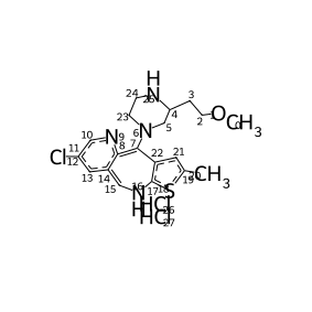 COCCC1CN(C2=c3ncc(Cl)cc3=CNc3sc(C)cc32)CCN1.Cl.Cl